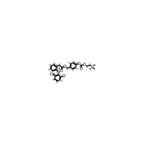 C[Si](C)(C)CCOC(=O)Oc1ccc(COC(=O)Cc2ccccc2Nc2c(Cl)cccc2Cl)cc1